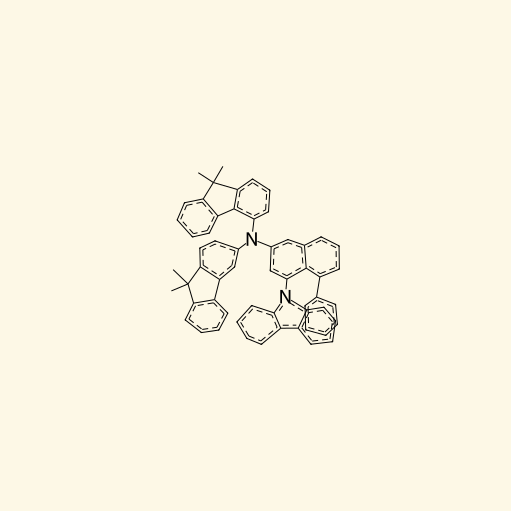 CC1(C)c2ccccc2-c2cc(N(c3cc(-n4c5ccccc5c5ccccc54)c4c(-c5ccccc5)cccc4c3)c3cccc4c3-c3ccccc3C4(C)C)ccc21